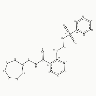 O=C(NCC1CCCCCC1)c1cccnc1SCCS(=O)(=O)c1ccccc1